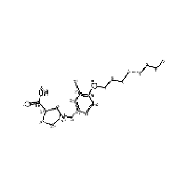 CCCCCCCCOc1ccc(CN2CCC(C(=O)O)C2)cc1C